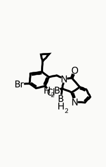 BC1(B)c2ncccc2C(=O)N1Cc1c(Cl)cc(Br)cc1C1CC1